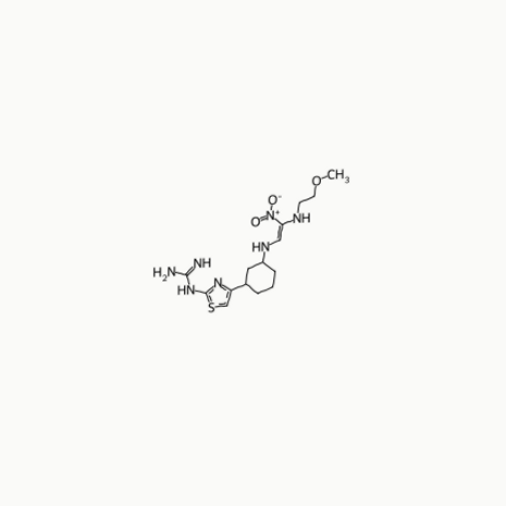 COCCNC(=CNC1CCCC(c2csc(NC(=N)N)n2)C1)[N+](=O)[O-]